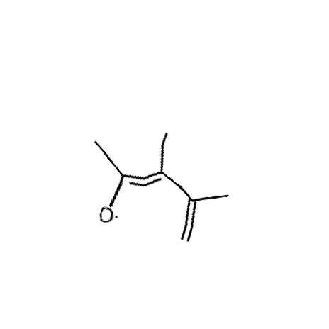 C=C(C)C(C)=C(C)[O]